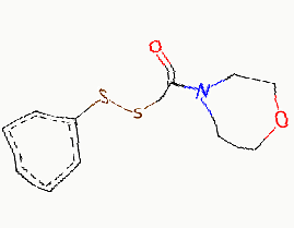 O=C(SSc1ccccc1)N1CCOCC1